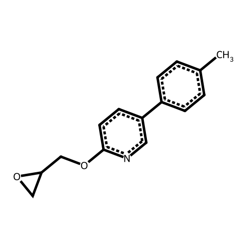 Cc1ccc(-c2ccc(OCC3CO3)nc2)cc1